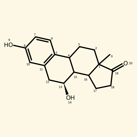 CC12CCC3c4ccc(O)cc4C[C@H](O)C3C1CCC2=O